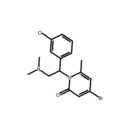 Cc1cc(Br)cc(=O)n1C(CN(C)C)c1cccc(Cl)c1